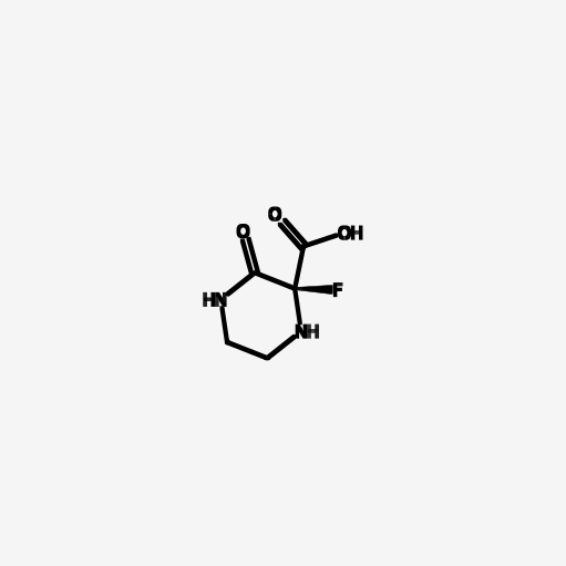 O=C(O)[C@]1(F)NCCNC1=O